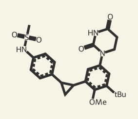 COc1c(C2CC2c2ccc(NS(C)(=O)=O)cc2)cc(N2CCC(=O)NC2=O)cc1C(C)(C)C